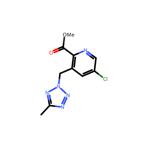 COC(=O)c1ncc(Cl)cc1Cn1nnc(C)n1